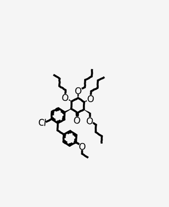 CCCCOC[C@H]1C(=O)[C@@H](c2ccc(Cl)c(Cc3ccc(OCC)cc3)c2)[C@H](OCCCC)[C@@H](OCCCC)[C@@H]1OCCCC